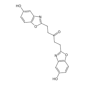 O=C(CCc1nc2cc(O)ccc2o1)CCc1nc2cc(O)ccc2o1